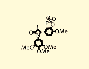 COc1ccc([C@H]2[C@H](C)C(=O)N2c2cc(OC)c(OC)c(OC)c2)cc1OS(=O)(=O)F